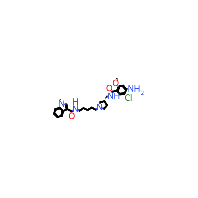 COc1cc(N)c(Cl)cc1C(=O)NC[C@@H]1CCN(CCCCCNC(=O)c2cn(C)c3ccccc23)C1